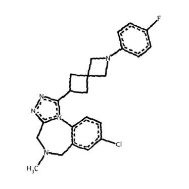 CN1Cc2cc(Cl)ccc2-n2c(nnc2C2CC3(C2)CN(c2ccc(F)cc2)C3)C1